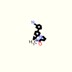 CN1C(=O)c2cccn2-c2cc(-c3cccc(C#N)c3)ccc2C12CC2